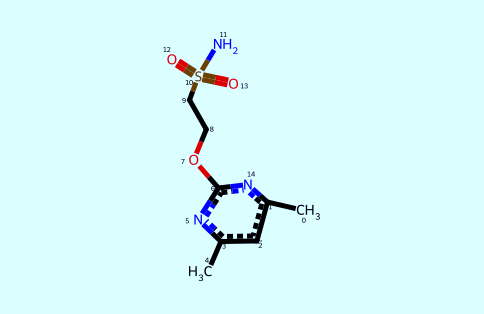 Cc1[c]c(C)nc(OCCS(N)(=O)=O)n1